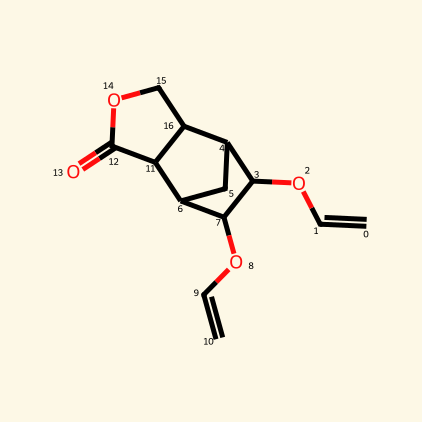 C=COC1C2CC(C1OC=C)C1C(=O)OCC21